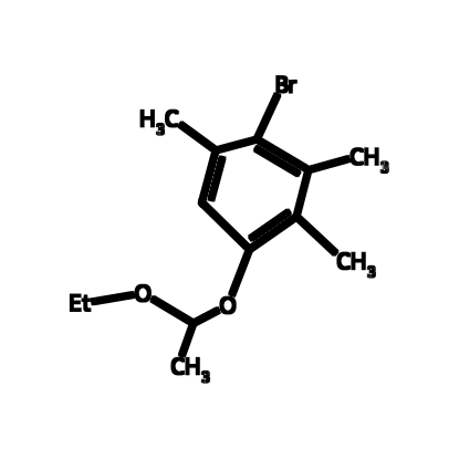 CCOC(C)Oc1cc(C)c(Br)c(C)c1C